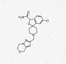 NC(=O)C1OC2(CCN(Cc3cc4n(n3)CCOC4)CC2)c2cc(Cl)ccc21